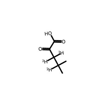 [2H]C(C)(C)C([2H])([2H])C(=O)C(=O)O